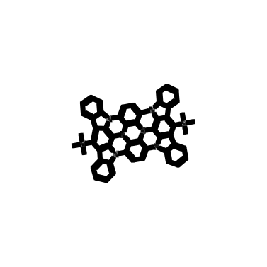 C[Si](C)(C)c1c2c3ccccc3n3c2c2c4c1c1ccccc1n4-c1ccc4c5c1B2c1c-3ccc2c1B5c1c3c(c([Si](C)(C)C)c5c6ccccc6n-4c15)c1ccccc1n3-2